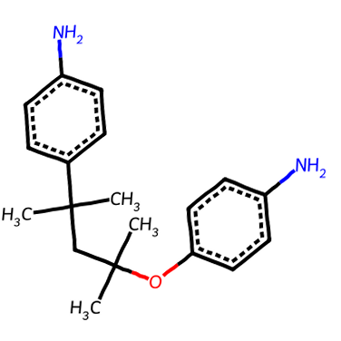 CC(C)(CC(C)(C)c1ccc(N)cc1)Oc1ccc(N)cc1